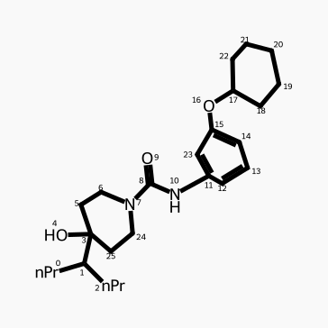 CCCC(CCC)C1(O)CCN(C(=O)Nc2cccc(OC3CCCCC3)c2)CC1